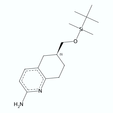 CC(C)(C)[Si](C)(C)OC[C@H]1CCc2nc(N)ccc2C1